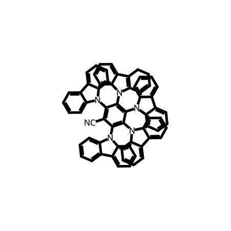 N#Cc1c(-n2c3ccccc3c3ccccc32)c(-n2c3c(c4ccccc42)CCC=C3)c(-n2c3ccccc3c3ccccc32)c(-n2c3ccccc3c3ccccc32)c1-n1c2ccccc2c2ccccc21